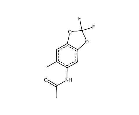 CC(=O)Nc1cc2c(cc1I)OC(F)(F)O2